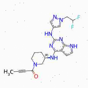 CC#CC(=O)N1CCC[C@@H](Nc2nc(Nc3cnn(CC(F)F)c3)nc3[nH]ccc23)C1